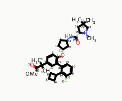 COC(=O)C(C)(C)c1ccc(O[C@@H]2CC[C@@H](NC(=O)[C@@H]3CC(C)(C)CN3C)C2)c(-c2cccc(F)c2C2CCC2)c1